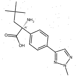 Cn1ncc(-c2ccc([C@](N)(CC(C)(C)C)C(=O)O)cc2)n1